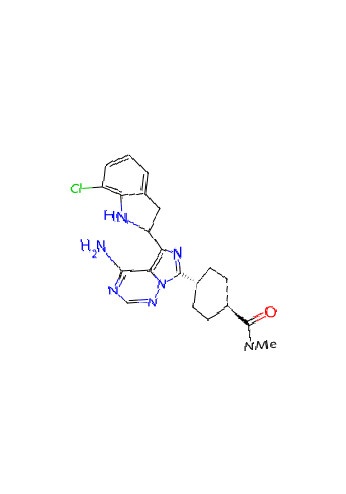 CNC(=O)[C@H]1CC[C@H](c2nc(C3Cc4cccc(Cl)c4N3)c3c(N)ncnn32)CC1